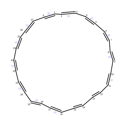 [C]1=C/C=C\C=C/C=C\C=C/C=C\C=CC=C/C=C\C=C/C=C\C=C/C=C\C=C/1